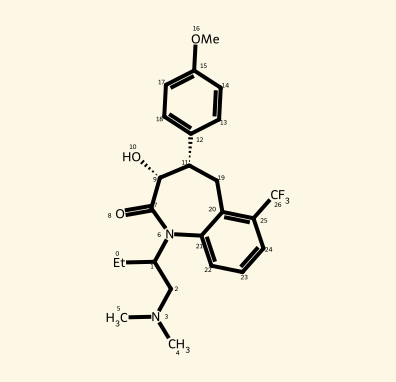 CCC(CN(C)C)N1C(=O)[C@H](O)[C@H](c2ccc(OC)cc2)Cc2c1cccc2C(F)(F)F